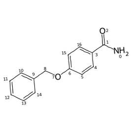 NC(=O)c1ccc(OCc2ccccc2)cc1